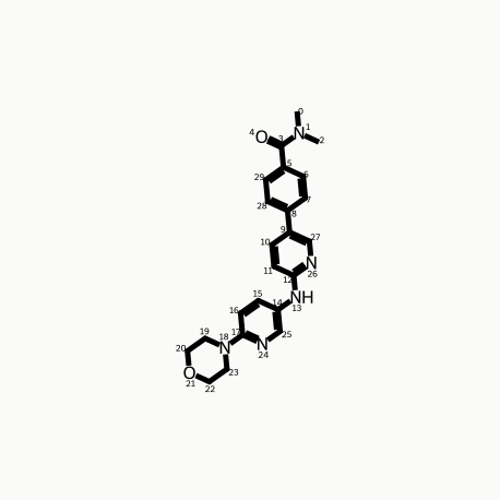 CN(C)C(=O)c1ccc(-c2ccc(Nc3ccc(N4CCOCC4)nc3)nc2)cc1